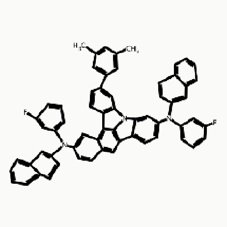 Cc1cc(C)cc(-c2ccc3c4c5cc(N(c6cccc(F)c6)c6ccc7ccccc7c6)ccc5cc5c6ccc(N(c7cccc(F)c7)c7ccc8ccccc8c7)cc6n(c3c2)c54)c1